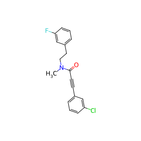 CN(CCc1cccc(F)c1)C(=O)C#Cc1cccc(Cl)c1